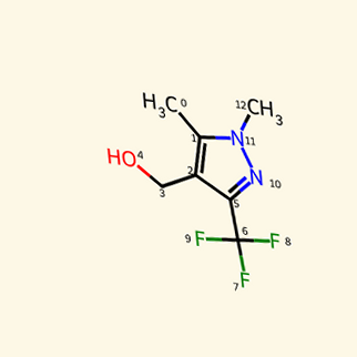 Cc1c(CO)c(C(F)(F)F)nn1C